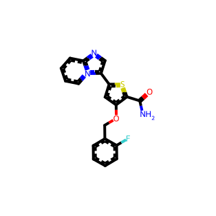 NC(=O)c1sc(-c2cnc3ccccn23)cc1OCc1ccccc1F